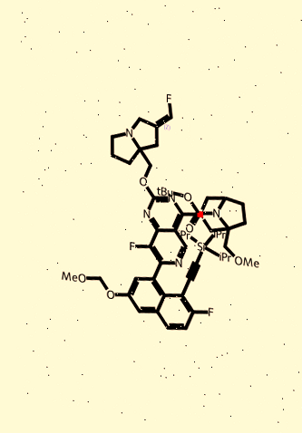 COCOc1cc(-c2ncc3c(N4CC5CCC(COC)(C4)N5C(=O)OC(C)(C)C)nc(OCC45CCCN4C/C(=C\F)C5)nc3c2F)c2c(C#C[Si](C(C)C)(C(C)C)C(C)C)c(F)ccc2c1